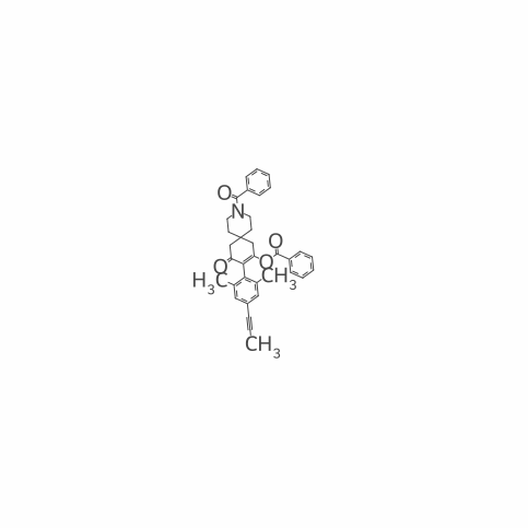 CC#Cc1cc(C)c(C2=C(OC(=O)c3ccccc3)CC3(CCN(C(=O)c4ccccc4)CC3)CC2=O)c(C)c1